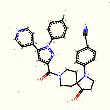 N#Cc1ccc(N2CCC(=O)C23CCN(C(=O)c2cc(-c4ccncc4)n(-c4ccc(F)cc4)n2)CC3)cc1